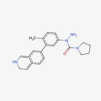 Cc1ccc(N(N)C(=O)N2CCCC2)cc1-c1ccc2c(c1)=CNCC=2